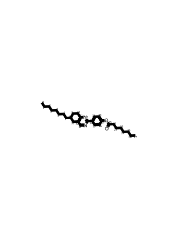 CCCCCCCCC1CCc2nc(-c3ccc(OC(=O)CCCCCCC)cc3)ncc2C1